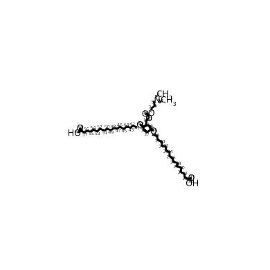 CCN(CC)CCCOC(=O)OCc1cc(OCCCCCCCCCCCCCCCCCC(=O)O)ccc1OCCCCCCCCCCCCCCCCCC(=O)O